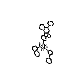 c1ccc(-c2cccc(-c3nc(-c4ccc5c(c4)oc4cc(-c6ccccc6)c6ccccc6c45)nc(-c4cccc5ccccc45)n3)c2)cc1